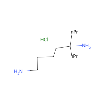 CCCC(N)(CCC)CCCCN.Cl